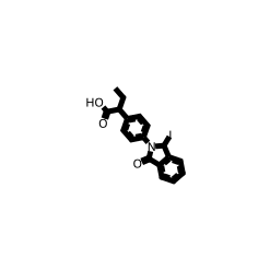 CCC(C(=O)O)c1ccc(N2C(=O)c3ccccc3C2I)cc1